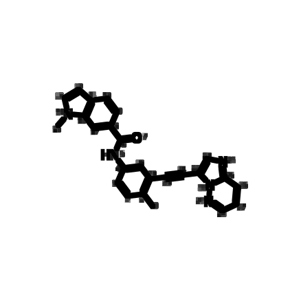 Cc1ccc(NC(=O)c2ccc3ccn(C)c3c2)cc1C#Cc1cnc2cccnn12